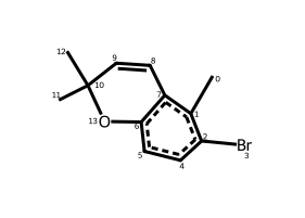 Cc1c(Br)ccc2c1C=CC(C)(C)O2